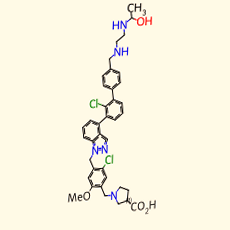 COc1cc(Cn2ncc3c(-c4cccc(-c5ccc(CNCCNC(C)O)cc5)c4Cl)cccc32)c(Cl)cc1CN1CC[C@@H](C(=O)O)C1